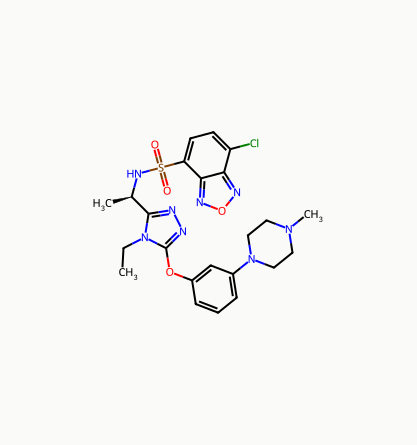 CCn1c(Oc2cccc(N3CCN(C)CC3)c2)nnc1[C@@H](C)NS(=O)(=O)c1ccc(Cl)c2nonc12